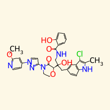 COc1cc(-n2ccc(N3CCO[C@H](C(O)(CNC(=O)c4ccccc4O)Cc4ccc5[nH]c(C)c(Cl)c5c4)C3=O)n2)ccn1